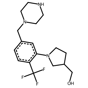 OCC1CCN(c2cc(CN3CCNCC3)ccc2C(F)(F)F)C1